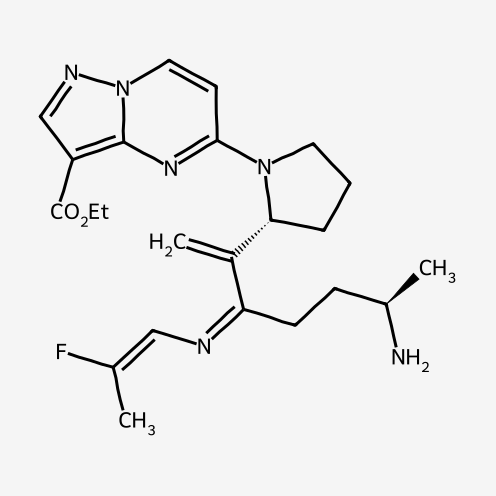 C=C(/C(CC[C@@H](C)N)=N\C=C(/C)F)[C@H]1CCCN1c1ccn2ncc(C(=O)OCC)c2n1